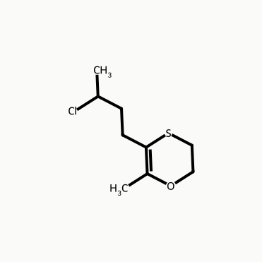 CC1=C(CCC(C)Cl)SCCO1